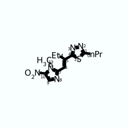 CCCc1nnc(C(=Cc2ncc([N+](=O)[O-])n2C)CC)s1